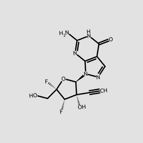 C#C[C@]1(O)[C@H](n2ncc3c(=O)[nH]c(N)nc32)O[C@](F)(CO)[C@H]1F